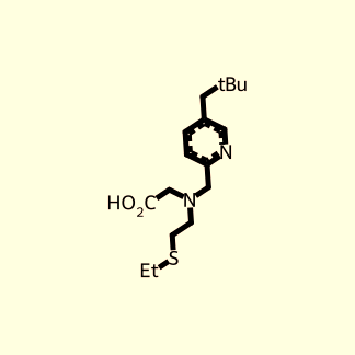 CCSCCN(CC(=O)O)Cc1ccc(CC(C)(C)C)cn1